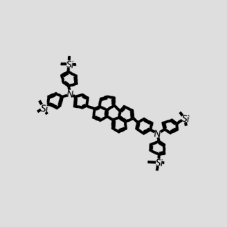 C[Si](C)(C)c1ccc(N(c2ccc(-c3ccc4c5cccc6c(-c7ccc(N(c8ccc([Si](C)(C)C)cc8)c8ccc([Si](C)(C)C)cc8)cc7)ccc(c7cccc3c74)c65)cc2)c2ccc([Si](C)(C)C)cc2)cc1